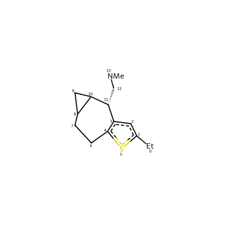 CCc1cc2c(s1)CCC1CC1[C@@H]2CNC